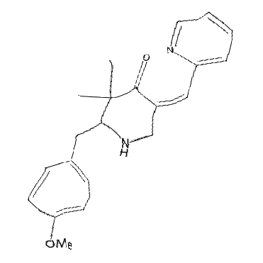 COc1ccc(CC2NC/C(=C/c3ccccn3)C(=O)C2(C)C)cc1